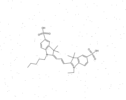 CCCCCN1/C(=C/C=C/C2=[N+](CC)c3ccc(S(=O)(=O)O)cc3C2(C)C)C(C)(C)c2cc(S(=O)(=O)O)ccc21